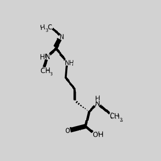 C/N=C(\NC)NCCC[C@H](NC)C(=O)O